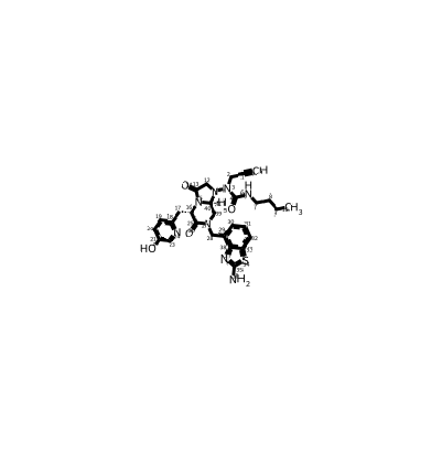 C#CCN(C(=O)NCCCC)N1CC(=O)N2[C@@H](Cc3ccc(O)cn3)C(=O)N(Cc3cccc4sc(N)nc34)C[C@@H]21